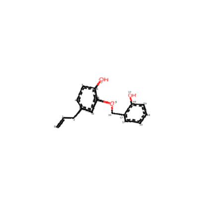 C=CCc1ccc(O)c(OCc2ccccc2O)c1